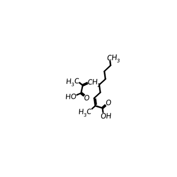 C=C(C)C(=O)O.CCCCCCC=C(C)C(=O)O